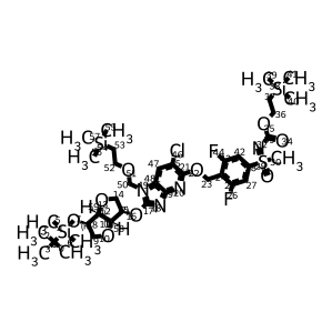 CC(C)(C)[Si](C)(C)O[C@@H]1CO[C@H]2[C@@H]1OC[C@H]2Oc1nc2nc(OCc3c(F)cc(S(C)(=O)=NC(=O)OCC[Si](C)(C)C)cc3F)c(Cl)cc2n1COCC[Si](C)(C)C